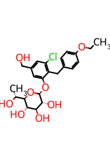 CCOc1ccc(Cc2c(Cl)cc(CO)cc2O[C@@H]2O[C@H]([C@@H](C)O)[C@@H](O)[C@H](O)[C@H]2O)cc1